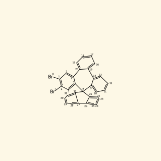 Brc1cc2c(cc1Br)C1(c3ccccc3-c3ccccc3-2)c2ccccc2-c2ccccc21